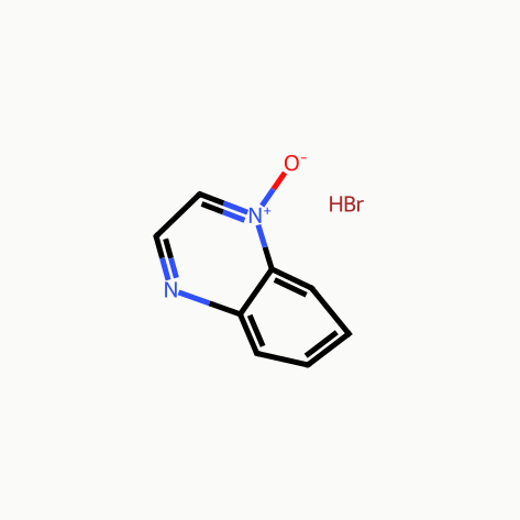 Br.[O-][n+]1ccnc2ccccc21